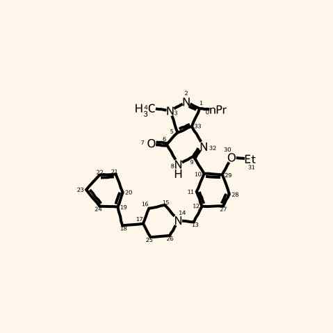 CCCc1nn(C)c2c(=O)[nH]c(-c3cc(CN4CCC(Cc5ccccc5)CC4)ccc3OCC)nc12